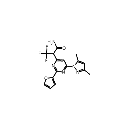 Cc1cc(C)n(-c2cc(C(C(N)=O)C(F)(F)F)nc(-c3ccco3)n2)n1